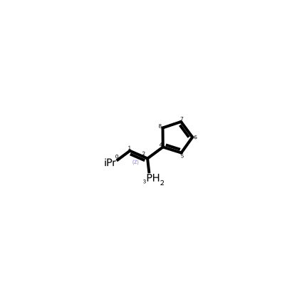 CC(C)/C=C(\P)C1=CC=CC1